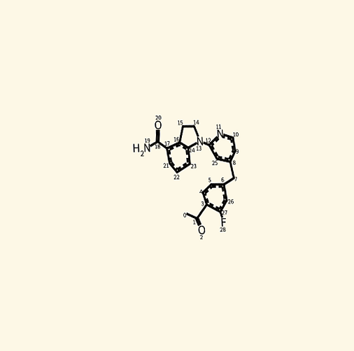 CC(=O)c1ccc(Cc2ccnc(N3CCc4c(C(N)=O)cccc43)c2)cc1F